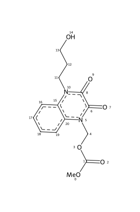 COC(=O)OCn1c(=O)c(=O)n(CCCO)c2ccccc21